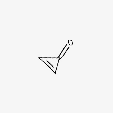 O=c1cc1